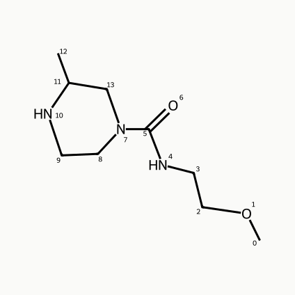 COCCNC(=O)N1CCNC(C)C1